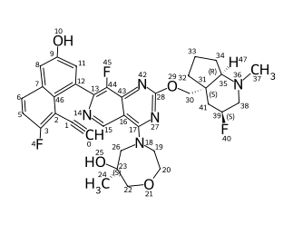 C#Cc1c(F)ccc2cc(O)cc(-c3ncc4c(N5CCOC[C@@](C)(O)C5)nc(OC[C@]56CCC[C@H]5N(C)C[C@@H](F)C6)nc4c3F)c12